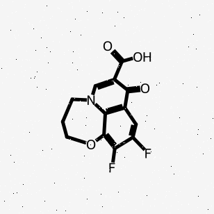 O=C(O)c1cn2c3c(c(F)c(F)cc3c1=O)OCCC2